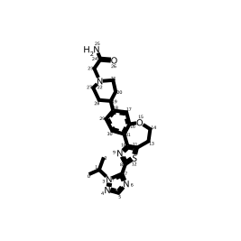 CC(C)n1ncnc1-c1nc2c(s1)CCOc1cc(C3CCN(CC(N)=O)CC3)ccc1-2